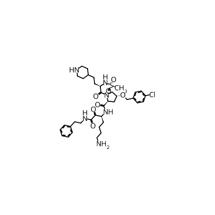 CS(=O)(=O)N[C@H](CCC1CCNCC1)C(=O)N1C[C@H](OCc2ccc(Cl)cc2)C[C@H]1C(=O)N[C@@H](CCCCN)C(=O)C(=O)NCCc1ccccc1